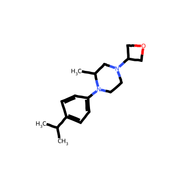 CC(C)c1ccc(N2CCN(C3COC3)CC2C)cc1